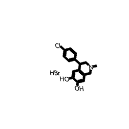 Br.CN1Cc2cc(O)c(O)cc2C(c2ccc(Cl)cc2)C1